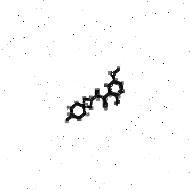 COc1ccc(F)c(C(=O)NC2CC3(CCN(C)CC3)C2)c1